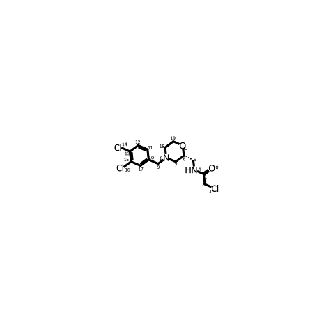 O=C(CCl)NC[C@@H]1CN(Cc2ccc(Cl)c(Cl)c2)CCO1